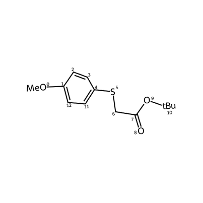 COc1ccc(SCC(=O)OC(C)(C)C)cc1